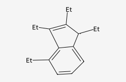 CC[C]1C(CC)=C(CC)c2c(CC)cccc21